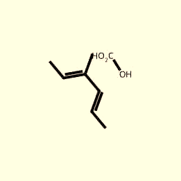 CC=CC(C)=CC.O=C(O)O